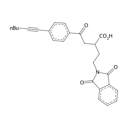 CCCCC#Cc1ccc(C(=O)CC(CCN2C(=O)c3ccccc3C2=O)C(=O)O)cc1